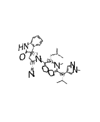 CC(C)C[C@@H](C(=O)N1C[C@]2(C[C@H]1C#N)C(=O)Nc1ccccc12)N(C)C(=O)[C@H](c1cnn(C)c1)C(C)C